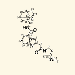 N[C@H]1CCN(C(=O)Cc2cn3c(C(=O)NCC45CC6CC(CC(C6)C4)C5)cccc3n2)C1